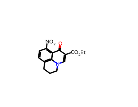 CCOC(=O)c1cn2c3c(ccc([N+](=O)[O-])c3c1=O)CCC2